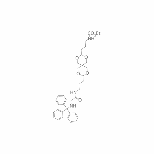 CCOC(=O)NCCCC1OCC2(COC(CCCNC(=O)CNC(c3ccccc3)(c3ccccc3)c3ccccc3)OC2)CO1